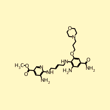 COC(=O)c1cnc(NC/C=C/CNc2c(N)cc(C(N)=O)cc2OCCCN2CCOCC2)c(N)c1